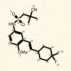 COc1ncc(NS(=O)(=O)CC(C)(C)C#N)cc1/C=C/C1CCC(F)(F)CC1